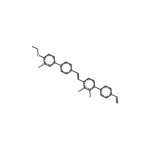 C=Cc1ccc(-c2ccc(/C=C/c3ccc(-c4ccc(OCC)c(F)c4)cc3)c(F)c2F)cc1